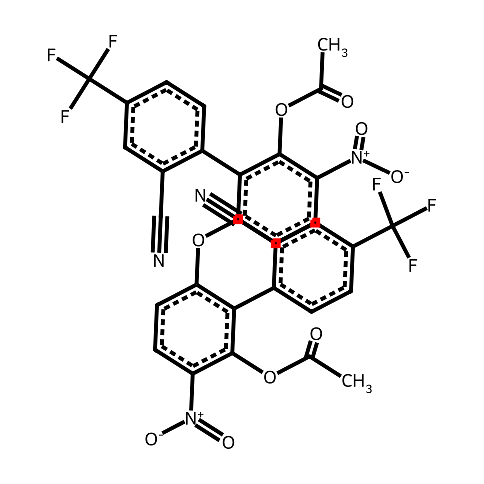 CC(=O)Oc1c([N+](=O)[O-])ccc(Oc2ccc([N+](=O)[O-])c(OC(C)=O)c2-c2ccc(C(F)(F)F)cc2C#N)c1-c1ccc(C(F)(F)F)cc1C#N